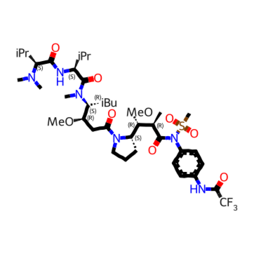 CC[C@@H](C)[C@@H]([C@@H](CC(=O)N1CCC[C@H]1[C@H](OC)[C@@H](C)C(=O)N(c1ccc(NC(=O)C(F)(F)F)cc1)S(C)(=O)=O)OC)N(C)C(=O)[C@@H](NC(=O)[C@H](C(C)C)N(C)C)C(C)C